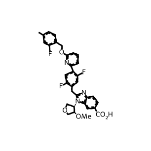 CO[C@H]1COC[C@@H]1n1c(Cc2cc(F)c(-c3cccc(OCc4ccc(C)cc4F)n3)cc2F)nc2ccc(C(=O)O)cc21